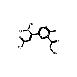 CN(C)/C(=[C]\C(=O)C(F)(F)F)c1ccc(Cl)c(C(=O)OC(C)(C)C)c1